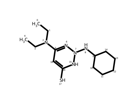 CCN(CC)C1=NN(NC2CCCCC2)NC(S)=C1